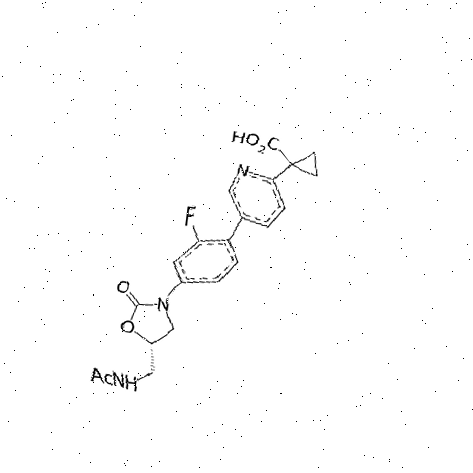 CC(=O)NC[C@H]1CN(c2ccc(-c3ccc(C4(C(=O)O)CC4)nc3)c(F)c2)C(=O)O1